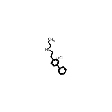 CCCNCCc1ccc(-c2ccccc2)cc1.Cl